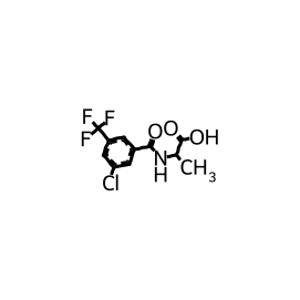 CC(NC(=O)c1cc(Cl)cc(C(F)(F)F)c1)C(=O)O